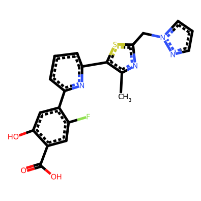 Cc1nc(Cn2cccn2)sc1-c1cccc(-c2cc(O)c(C(=O)O)cc2F)n1